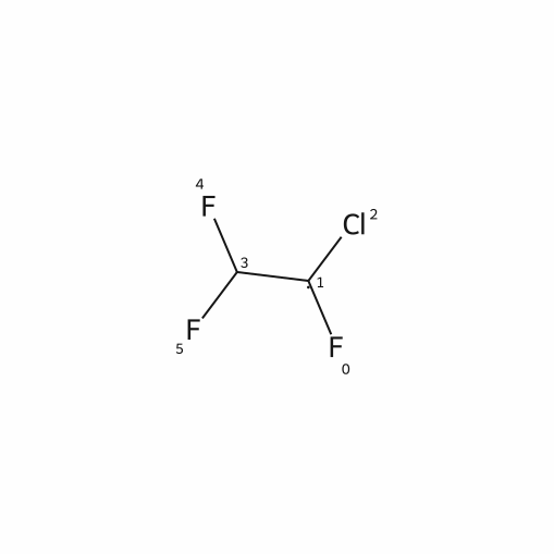 F[C](Cl)C(F)F